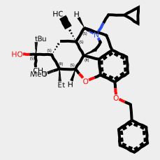 C#C[C@@]12C[C@@H]([C@](C)(O)C(C)(C)C)[C@@](CC)(OC)[C@H]3Oc4c(OCc5ccccc5)ccc5c4[C@]31CCN(CC1CC1)[C@H]2C5